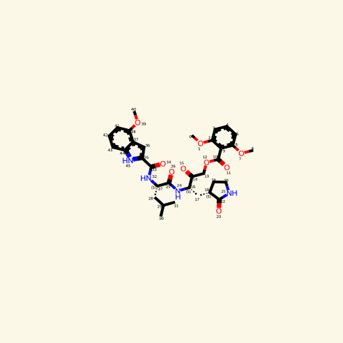 COc1cccc(OC)c1C(=O)OCC(=O)[C@H](C[C@@H]1CCNC1=O)NC(=O)[C@H](CC(C)C)NC(=O)c1cc2c(OC)cccc2[nH]1